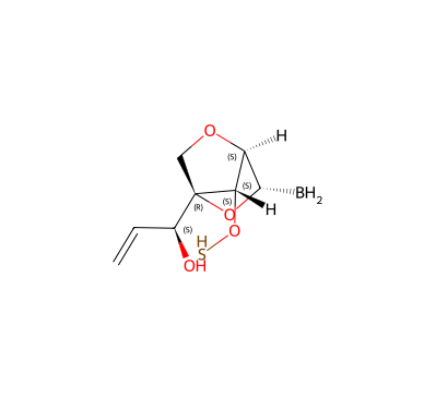 B[C@@H]1O[C@@]2([C@@H](O)C=C)CO[C@@H]1[C@@H]2OS